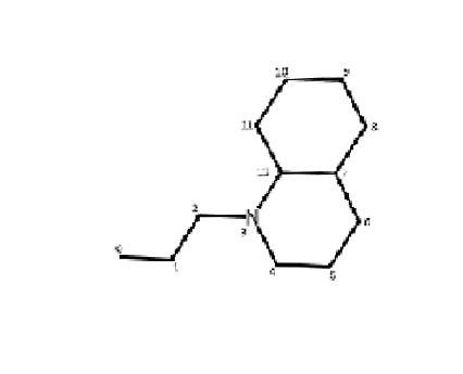 CCCN1CCCC2CCCCC21